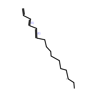 C=C/C=C/C=C/CCCCCCC[CH]CC